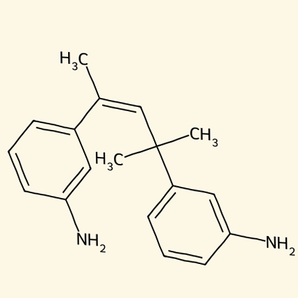 C/C(=C/C(C)(C)c1cccc(N)c1)c1cccc(N)c1